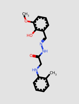 COc1cccc(C=NNC(=O)CNc2ccccc2C)c1O